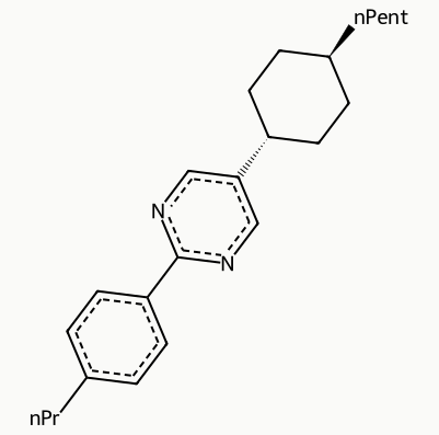 CCCCC[C@H]1CC[C@H](c2cnc(-c3ccc(CCC)cc3)nc2)CC1